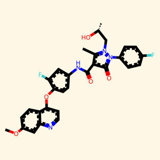 COc1ccc2c(Oc3ccc(NC(=O)c4c(C)n(C[C@@H](C)O)n(-c5ccc(F)cc5)c4=O)cc3F)ccnc2c1